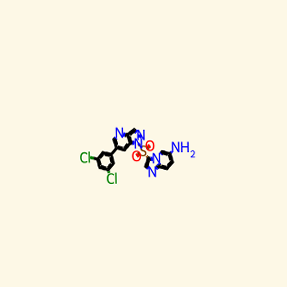 Nc1ccc2ncc(S(=O)(=O)n3ncc4ncc(-c5cc(Cl)cc(Cl)c5)cc43)n2c1